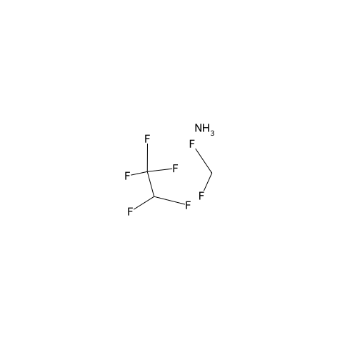 FC(F)C(F)(F)F.FCF.N